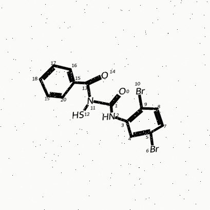 O=C(Nc1cc(Br)ccc1Br)N(S)C(=O)c1ccccc1